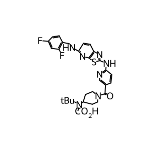 CC(C)(C)N(C(=O)O)C1CCN(C(=O)c2ccc(Nc3nc4ccc(NCc5ccc(F)cc5F)nc4s3)nc2)CC1